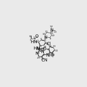 C=CC(=O)Nc1cc(N2CCC(N(C)C)CC2)c(Cl)cc1Nc1ncc(C#N)c(Nc2c(F)cccc2OC)n1